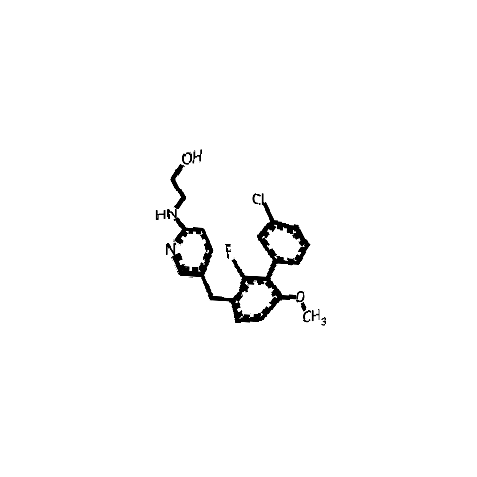 COc1ccc(Cc2ccc(NCCO)nc2)c(F)c1-c1cccc(Cl)c1